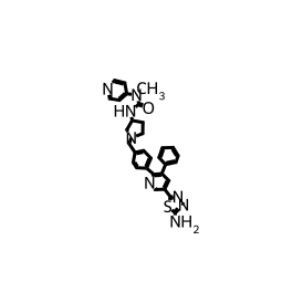 CN(C(=O)NC1CCN(Cc2ccc(-c3ncc(-c4nnc(N)s4)cc3-c3ccccc3)cc2)C1)c1ccncc1